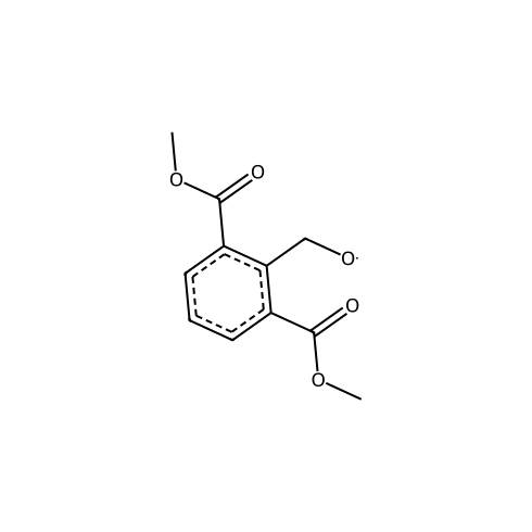 COC(=O)c1cccc(C(=O)OC)c1C[O]